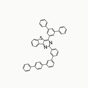 c1ccc(-c2ccc(-c3cccc(-c4cccc(-c5nc(-c6cc(-c7ccccc7)cc(-c7ccccc7)c6)c6sc7ccccc7c6n5)c4)c3)cc2)cc1